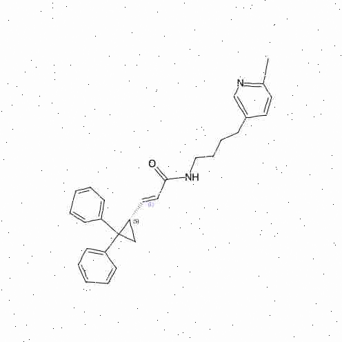 Cc1ccc(CCCCNC(=O)/C=C/[C@@H]2CC2(c2ccccc2)c2ccccc2)cn1